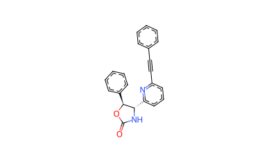 O=C1N[C@@H](c2cccc(C#Cc3ccccc3)n2)[C@H](c2ccccc2)O1